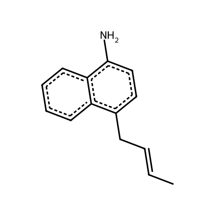 C/C=C/Cc1ccc(N)c2ccccc12